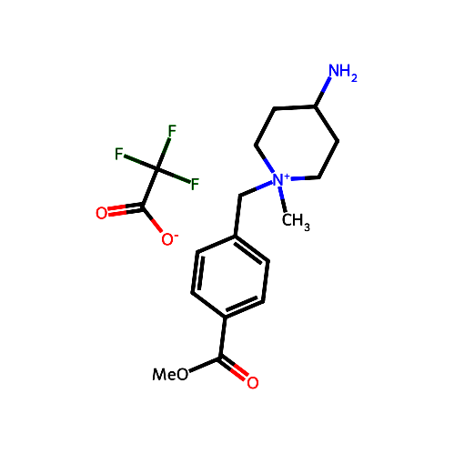 COC(=O)c1ccc(C[N+]2(C)CCC(N)CC2)cc1.O=C([O-])C(F)(F)F